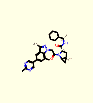 CC(=O)c1nn(CC(=O)N2C3C[C@]3(C)C[C@H]2C(=O)N[C@@H](C)C2CCCCC2)c2c(C)cc(-c3cnc(C)nc3)cc12